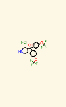 Cl.OC(c1ccc(OC(F)(F)F)cc1)(c1ccc(OC(F)(F)F)cc1)C1CCNCC1